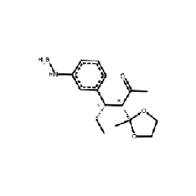 BNc1cccc([C@@H](CC)[C@H](C(C)=O)C2(C)OCCO2)c1